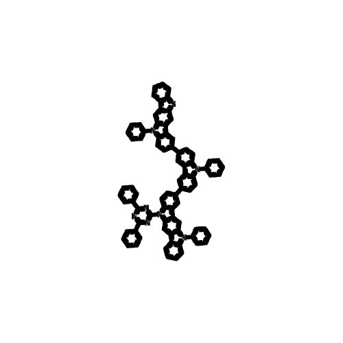 c1ccc(-c2nc(-c3ccccc3)nc(-n3c4ccc(-c5ccc6c(c5)c5cc(-c7ccc8c(c7)c7cc9sc%10ccccc%10c9cc7n8-c7ccccc7)ccc5n6-c5ccccc5)cc4c4cc5c(cc43)c3ccccc3n5-c3ccccc3)n2)cc1